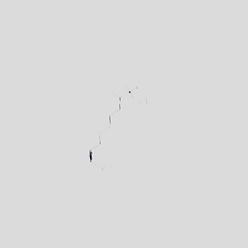 CCCCCCCC/C=C\CCCCCC(O)C(O)(O)C(=O)O